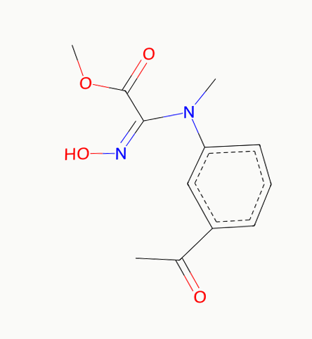 COC(=O)C(=NO)N(C)c1cccc(C(C)=O)c1